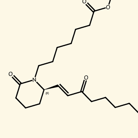 CCCCCC(=O)C=C[C@H]1CCCC(=O)N1CCCCCCC(=O)OC